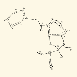 CC1c2cccc(NCc3ccccc3)c2CC1(C)C(=O)O